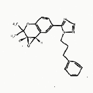 CC1(C)Oc2ccc(-c3nnnn3CCCc3ccccc3)cc2[C@@H]2O[C@@H]21